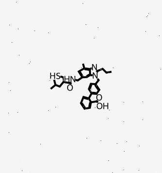 CCCc1nc2c(C)cc(CNC(=O)[C@H](CS)CC(C)C)cc2n1Cc1ccc(-c2ccccc2C(=O)O)cc1